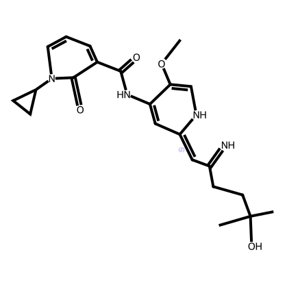 COC1=CN/C(=C\C(=N)CCC(C)(C)O)C=C1NC(=O)c1cccn(C2CC2)c1=O